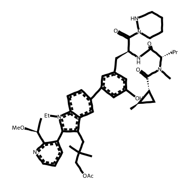 CCn1c(-c2cccnc2[C@H](C)OC)c(CC(C)(C)COC(C)=O)c2cc(-c3cc(O)cc(C[C@H](NC(=O)[C@H](C(C)C)N(C)C(=O)[C@@H]4C[C@H]4C)C(=O)N4CCCCN4)c3)ccc21